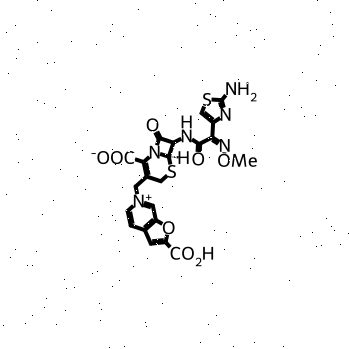 CO/N=C(\C(=O)NC1C(=O)N2C(C(=O)[O-])=C(C[n+]3ccc4cc(C(=O)O)oc4c3)CS[C@H]12)c1csc(N)n1